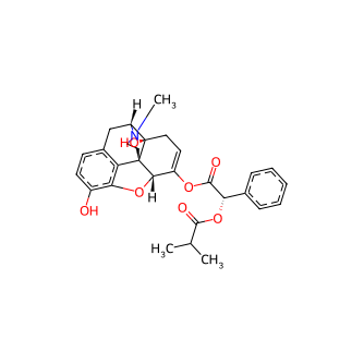 CC(C)C(=O)O[C@H](C(=O)OC1=CC[C@@]2(O)[C@H]3Cc4ccc(O)c5c4[C@@]2(CCN3C)[C@H]1O5)c1ccccc1